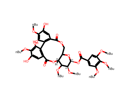 CCCCOc1cc(C(=O)O[C@@H]2OC3COC(=O)c4cc(O)c(OCCCC)c(O)c4-c4c(cc(O)c(OCCCC)c4O)C(=O)O[C@H]3C(OCCCC)[C@@H]2OCCCC)cc(OCCCC)c1OCCCC